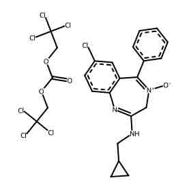 O=C(OCC(Cl)(Cl)Cl)OCC(Cl)(Cl)Cl.[O-][N+]1=C(c2ccccc2)c2cc(Cl)ccc2N=C(NCC2CC2)C1